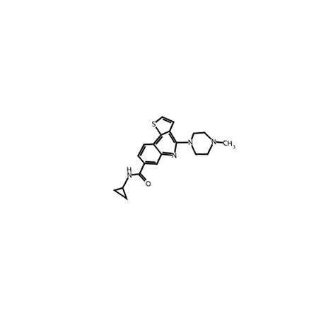 CN1CCN(c2nc3cc(C(=O)NC4CC4)ccc3c3sccc23)CC1